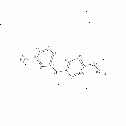 FC(F)(F)Oc1ccc(Oc2cccc(C(F)(F)F)c2)cc1